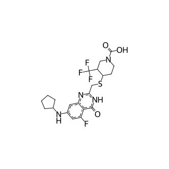 O=C(O)N1CCC(SCc2nc3cc(NC4CCCC4)cc(F)c3c(=O)[nH]2)C(C(F)(F)F)C1